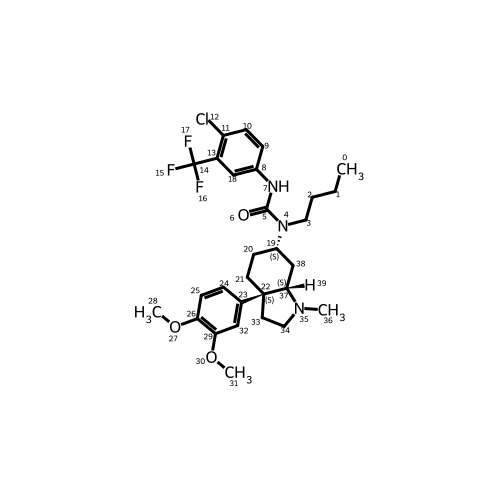 CCCCN(C(=O)Nc1ccc(Cl)c(C(F)(F)F)c1)[C@H]1CC[C@@]2(c3ccc(OC)c(OC)c3)CCN(C)[C@H]2C1